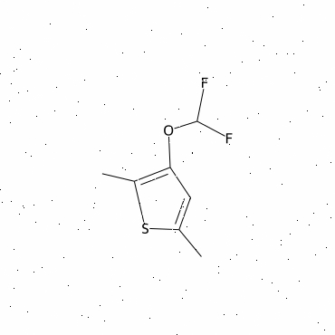 Cc1cc(OC(F)F)c(C)s1